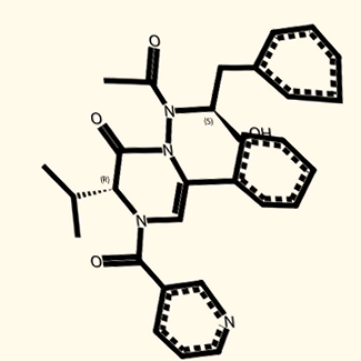 CC(=O)N([C@H](CO)Cc1ccccc1)N1C(=O)[C@@H](C(C)C)N(C(=O)c2cccnc2)C=C1c1ccccc1